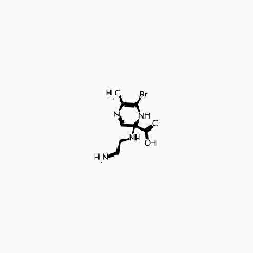 CC1=C(Br)NC(NCCN)(C(=O)O)C=N1